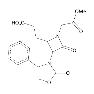 COC(=O)CN1C(=O)C(N2C(=O)OCC2c2ccccc2)C1CCC(=O)O